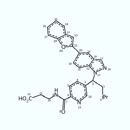 CC(C)CC(c1ccc(C(=O)NCCC(=O)O)nc1)n1ncc2cc(-c3cc4ccccc4o3)ccc21